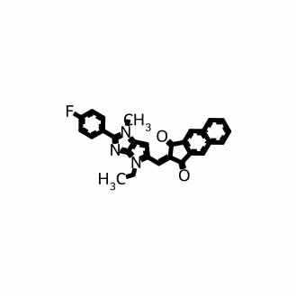 CCn1c(C=C2C(=O)c3cc4ccccc4cc3C2=O)cc2c1nc(-c1ccc(F)cc1)n2C